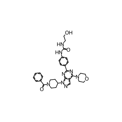 O=C(NCCO)Nc1ccc(-c2nc(N3CCOCC3)c3cnn(C4CCN(C(=O)c5ccccc5)CC4)c3n2)cc1